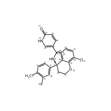 Cc1ccc([C@@]2(NC(=O)c3ccc(=O)[nH]c3)CCOc3c(Cl)ccnc32)cc1F